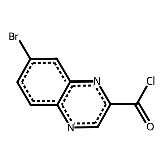 O=C(Cl)c1cnc2ccc(Br)cc2n1